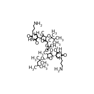 CC(C)CC(C)(C)OC[C@H]1O[C@@H](c2cn(CCCN)c(=O)[nH]c2=O)[C@@H](OP(C)(=O)OC[C@H]2O[C@@H](c3cn(CCCN)c(=O)[nH]c3=O)[C@@H](C)C2OC(C)(C)C(C)C)C1C